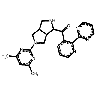 Cc1cc(C)nc(N2CC3CNC(C(=O)c4cccnc4-c4ncccn4)C3C2)n1